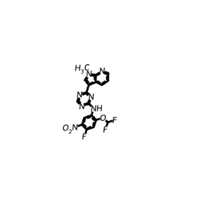 Cn1cc(-c2ncnc(Nc3cc([N+](=O)[O-])c(F)cc3OC(F)F)n2)c2cccnc21